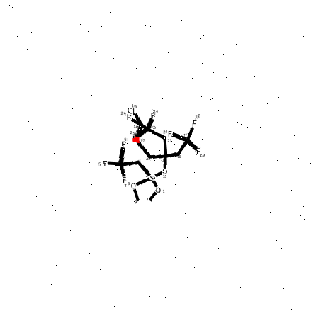 CO[Si](CC(F)(F)F)(OC)OC(CCCCl)(CC(F)(F)F)CC(F)(F)F